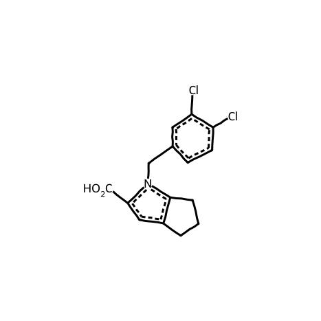 O=C(O)c1cc2c(n1Cc1ccc(Cl)c(Cl)c1)CCC2